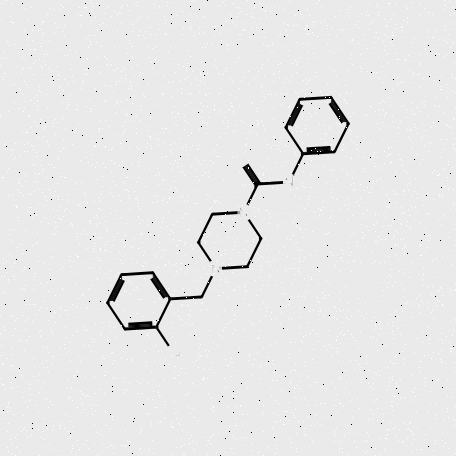 O=C(Nc1ccccc1)N1CCN(Cc2ccccc2Br)CC1